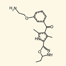 CCC1NN=C(c2[nH]c(C)c(C(=O)c3cccc(OCCN)c3)c2C)O1